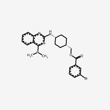 CN(C)c1nc(N[C@H]2CC[C@@H](COC(=O)c3cccc(Br)c3)CC2)nc2ccccc12